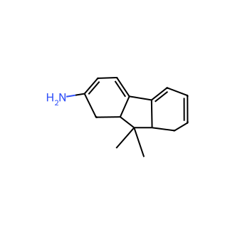 CC1(C)C2CC=CC=C2C2=CC=C(N)CC21